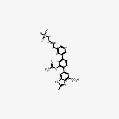 Cc1nc2c(C(=O)O)cc(-c3ccc(-c4cccc(CNCCS(C)(=O)=O)c4)cc3OC(=O)C(F)(F)F)cc2[nH]1